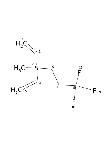 C=CS(C)(C=C)CCC(F)(F)F